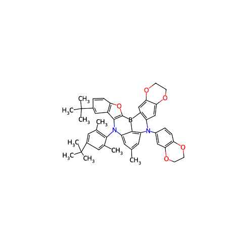 Cc1cc2c3c(c1)N(c1c(C)cc(C(C)(C)C)cc1C)c1c(oc4ccc(C(C)(C)C)cc14)B3c1cc3c(cc1N2c1ccc2c(c1)OCCO2)OCCO3